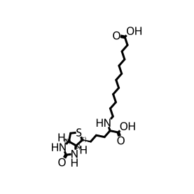 O=C(O)CCCCCCCCCCCNC(CCC[C@@H]1SC[C@@H]2NC(=O)N[C@@H]21)C(=O)O